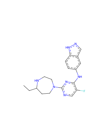 CCC1CCN(c2ncc(F)c(Nc3ccc4[nH]ncc4c3)n2)CCN1